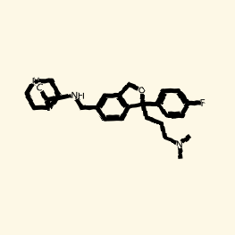 CN(C)CCCC1(c2ccc(F)cc2)OCc2cc(CNC3CN4CCC3CC4)ccc21